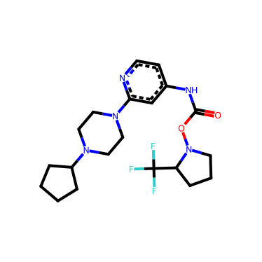 O=C(Nc1ccnc(N2CCN(C3CCCC3)CC2)c1)ON1CCCC1C(F)(F)F